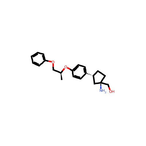 C[C@@H](COc1ccccc1)Oc1ccc([C@@H]2CC[C@](N)(CO)C2)cc1